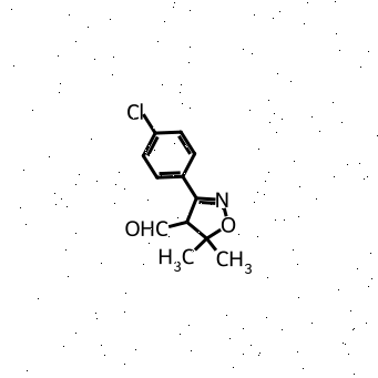 CC1(C)ON=C(c2ccc(Cl)cc2)C1C=O